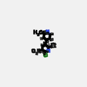 CCc1nc(Cl)c([N+](=O)[O-])cc1-c1ccnc(C)c1